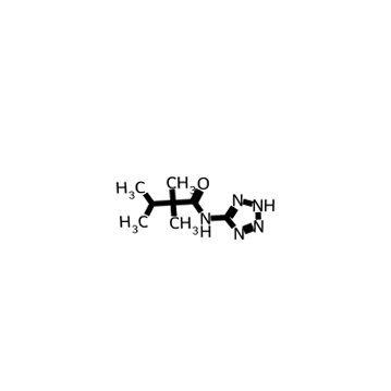 CC(C)C(C)(C)C(=O)Nc1nn[nH]n1